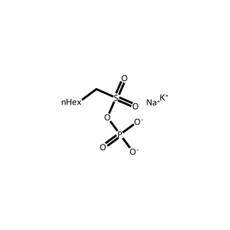 CCCCCCCS(=O)(=O)OP(=O)([O-])[O-].[K+].[Na+]